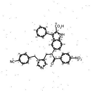 N#Cc1ccc(Cn2cncc2CN(C(=O)c2ccc([N+](=O)[O-])cc2)c2ccc3[nH]c(C(=O)O)c(-c4ccccc4)c3c2)cc1